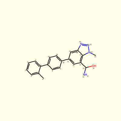 Cc1ccccc1-c1ccc(-c2cc(C(N)O)c3c(c2)nnn3C)cc1